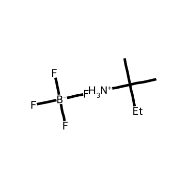 CCC(C)(C)[NH3+].F[B-](F)(F)F